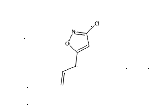 C=C[CH]c1cc(Cl)no1